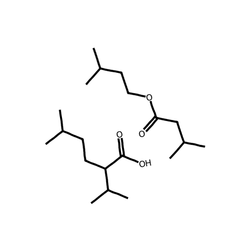 CC(C)CCC(C(=O)O)C(C)C.CC(C)CCOC(=O)CC(C)C